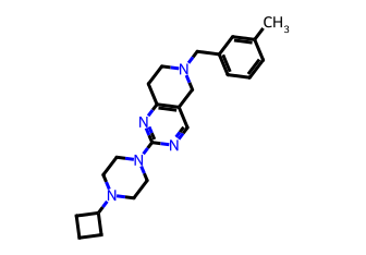 Cc1cccc(CN2CCc3nc(N4CCN(C5CCC5)CC4)ncc3C2)c1